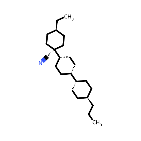 CCC[C@H]1CC[C@H]([C@H]2CC[C@@H]([C@]3(C#N)CC[C@H](CC)CC3)CC2)CC1